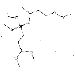 COCCCC(C)O[Si](CCC(OC)OC)(OC)OC